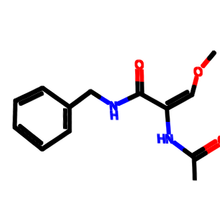 CO/C=C(/NC(C)=O)C(=O)NCc1ccccc1